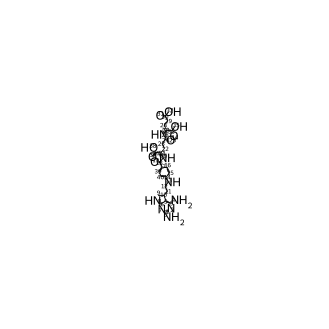 Nc1nc(N)c2c(n1)NCC2CCNc1ccc(C(=O)N[C@@H](CCC(=O)N[C@@H](CCC(=O)O)C(=O)O)C(=O)O)cc1